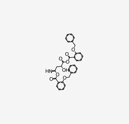 N=C(CC(O)C(=O)OC(=O)c1ccccc1OCc1ccccc1)OC(=O)c1ccccc1OCc1ccccc1